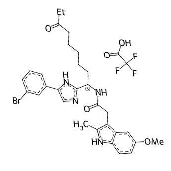 CCC(=O)CCCCC[C@H](NC(=O)Cc1c(C)[nH]c2ccc(OC)cc12)c1ncc(-c2cccc(Br)c2)[nH]1.O=C(O)C(F)(F)F